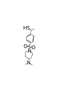 CC(S)c1ccc(S(=O)(=O)N2CCC(N(C)C)CC2)cc1